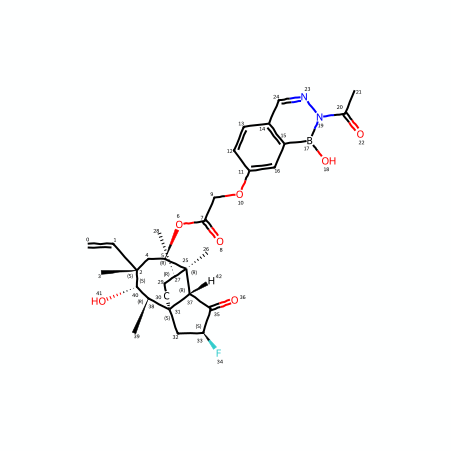 C=C[C@]1(C)C[C@@H](OC(=O)COc2ccc3c(c2)B(O)N(C(C)=O)N=C3)[C@]2(C)[C@H](C)CC[C@]3(C[C@H](F)C(=O)[C@H]32)[C@@H](C)[C@@H]1O